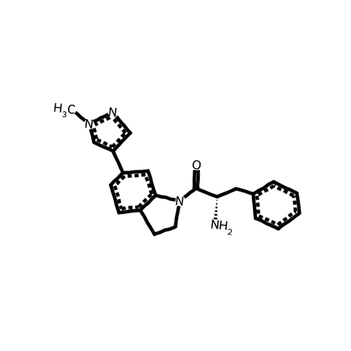 Cn1cc(-c2ccc3c(c2)N(C(=O)[C@@H](N)Cc2ccccc2)CC3)cn1